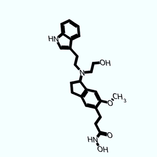 COc1cc2c(cc1CCC(=O)NO)CCC2N(CCO)CCc1c[nH]c2ccccc12